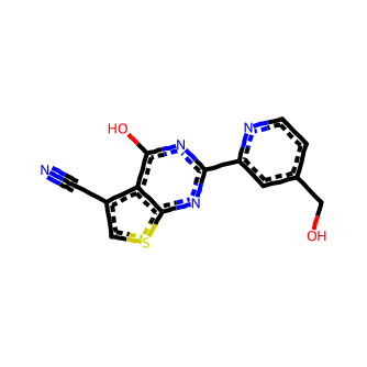 N#Cc1csc2nc(-c3cc(CO)ccn3)nc(O)c12